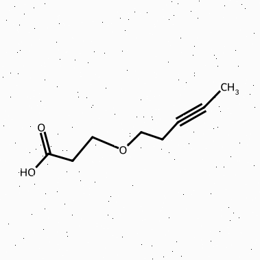 CC#CCCOCCC(=O)O